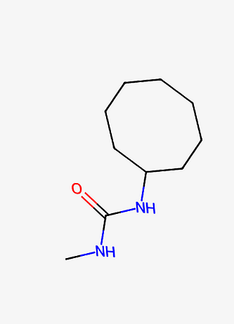 CNC(=O)NC1CCCCCCC1